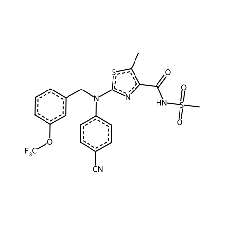 Cc1sc(N(Cc2cccc(OC(F)(F)F)c2)c2ccc(C#N)cc2)nc1C(=O)NS(C)(=O)=O